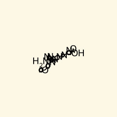 Nc1ncnc2c1c(-c1ccc(Oc3ccccc3)cc1)nn2N1CCN(C2CN(c3ccc(C(=O)O)nc3)C2)CC1